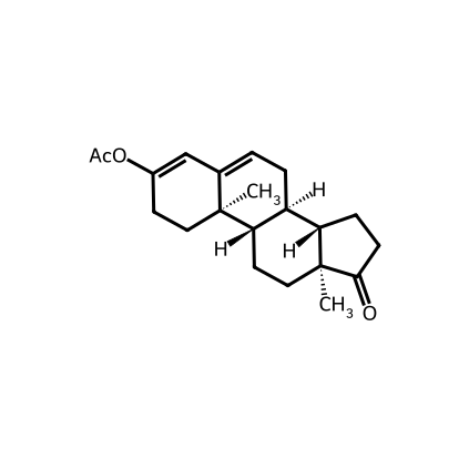 CC(=O)OC1=CC2=CC[C@@H]3[C@H](CC[C@]4(C)C(=O)CC[C@@H]34)[C@@]2(C)CC1